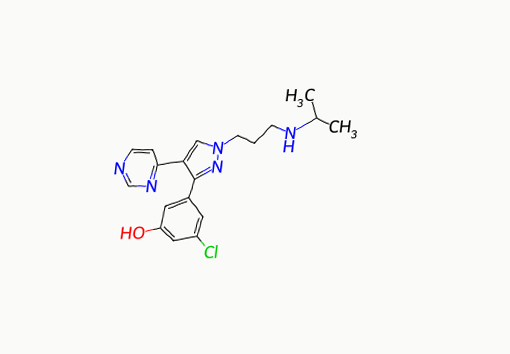 CC(C)NCCCn1cc(-c2ccncn2)c(-c2cc(O)cc(Cl)c2)n1